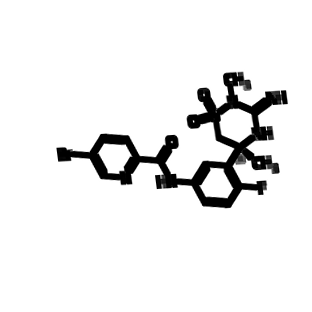 CN1C(=N)N[C@](C)(c2cc(NC(=O)c3ccc(Br)cn3)ccc2F)CS1(=O)=O